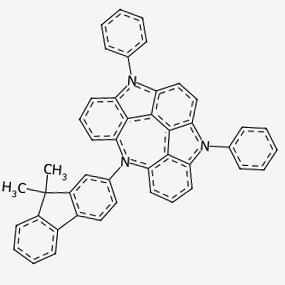 CC1(C)c2ccccc2-c2ccc(-n3c4cccc5c4c4c6c7c(cccc73)n(-c3ccccc3)c6ccc4n5-c3ccccc3)cc21